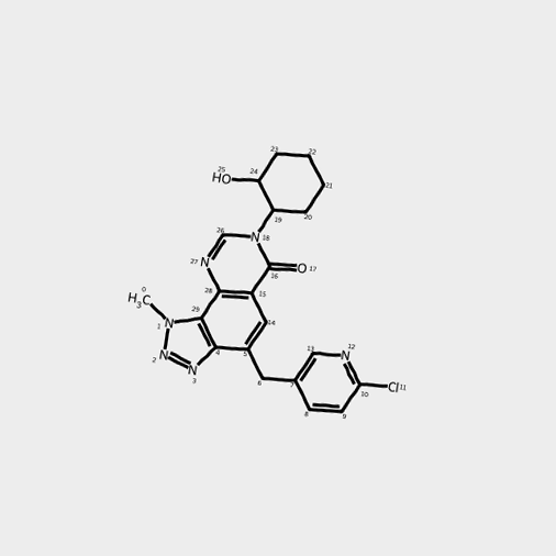 Cn1nnc2c(Cc3ccc(Cl)nc3)cc3c(=O)n(C4CCCCC4O)cnc3c21